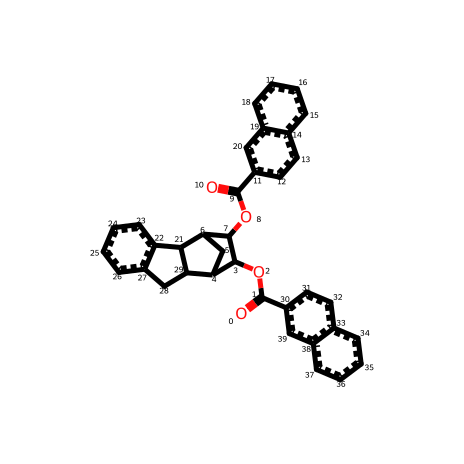 O=C(OC1C2CC(C1OC(=O)c1ccc3ccccc3c1)C1c3ccccc3CC21)c1ccc2ccccc2c1